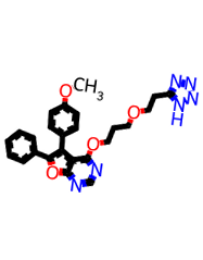 COc1ccc(-c2c(-c3ccccc3)oc3ncnc(OCCCOCCc4nnn[nH]4)c23)cc1